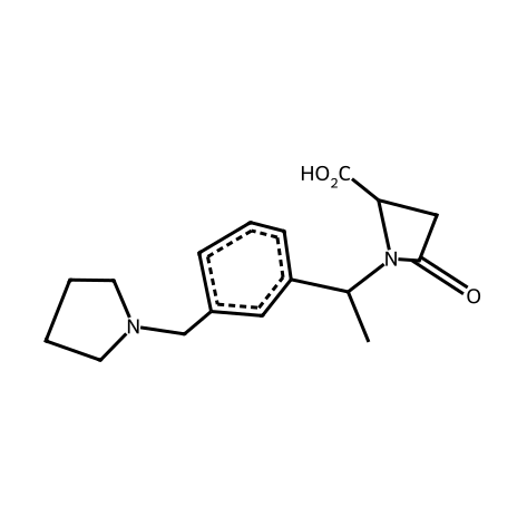 CC(c1cccc(CN2CCCC2)c1)N1C(=O)CC1C(=O)O